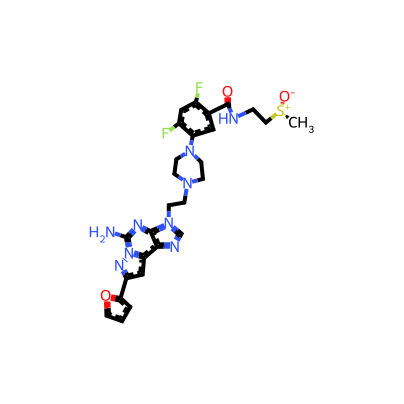 C[S@+]([O-])CCNC(=O)c1cc(N2CCN(CCn3cnc4c3nc(N)n3nc(-c5ccco5)cc43)CC2)c(F)cc1F